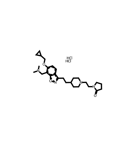 CN(C)Cc1c(OCC2CC2)ccc2c(CCC3CCN(CCN4CCCC4=O)CC3)noc12.Cl.Cl